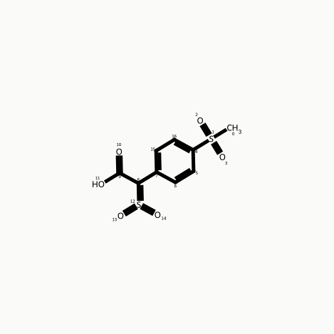 CS(=O)(=O)c1ccc(C(C(=O)O)=S(=O)=O)cc1